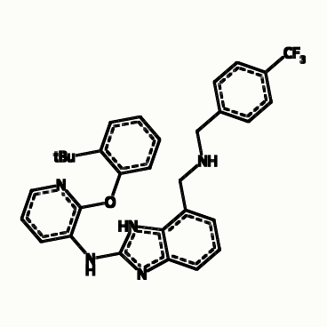 CC(C)(C)c1ccccc1Oc1ncccc1Nc1nc2cccc(CNCc3ccc(C(F)(F)F)cc3)c2[nH]1